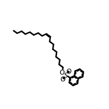 CCCCCCCC/C=C\CCCCCCCCOS(=O)(=O)c1cccc2ccccc12